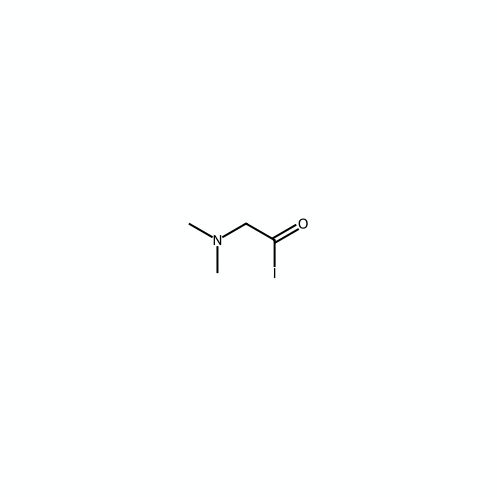 CN(C)CC(=O)I